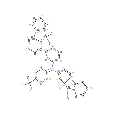 CC(C)(C)c1ccc(N(c2cccc(-c3cccc4c3C(C)(C)c3ccccc3-4)c2)c2ccc3c(c2)C(C)(C)c2ccccc2-3)cc1